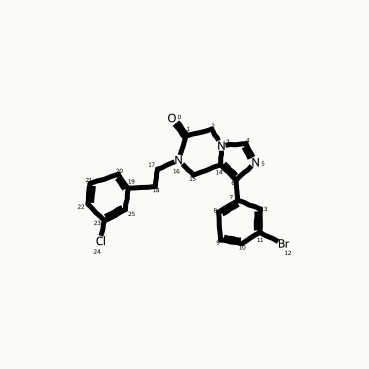 O=C1Cn2cnc(-c3cccc(Br)c3)c2CN1CCc1cccc(Cl)c1